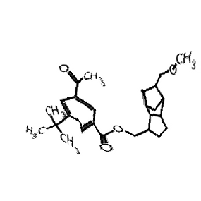 COCC1CC2CC1C1CCC(COC(=O)c3cc(C(C)=O)cc(C(C)(C)C)c3)C21